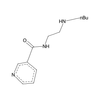 CCCCNCCNC(=O)c1cccnc1